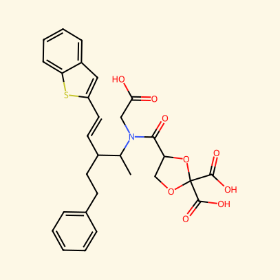 CC(C(C=Cc1cc2ccccc2s1)CCc1ccccc1)N(CC(=O)O)C(=O)C1COC(C(=O)O)(C(=O)O)O1